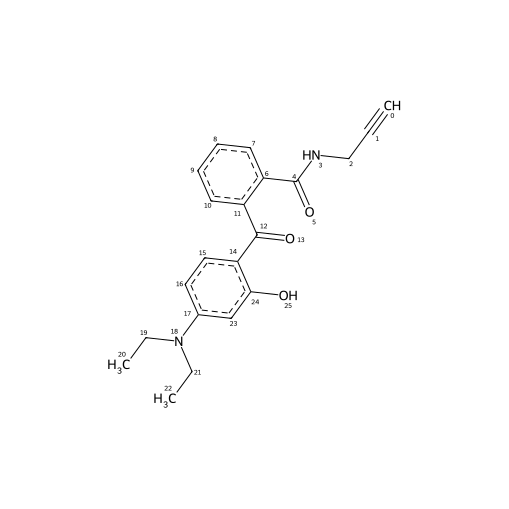 C#CCNC(=O)c1ccccc1C(=O)c1ccc(N(CC)CC)cc1O